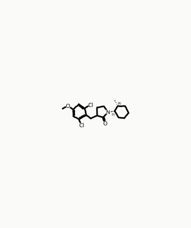 COc1cc(Cl)c(CC2CCN([C@H]3CCCC[C@H]3C)C2=O)c(Cl)c1